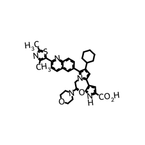 Cc1nc(C)c(-c2ccc3cc(-c4c(C5CCCCC5)cc(-c5c[nH]c(C(=O)O)c5)n4CC(=O)N4CCOCC4)ccc3n2)s1